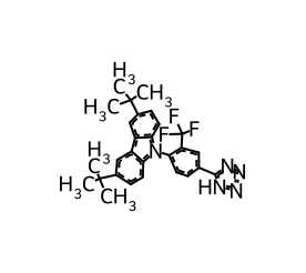 CC(C)(C)c1ccc2c(c1)c1cc(C(C)(C)C)ccc1n2-c1ccc(-c2nnn[nH]2)cc1C(F)(F)F